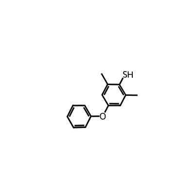 Cc1cc(Oc2ccccc2)cc(C)c1S